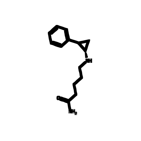 NC(=O)CCCCN[C@H]1CC1c1ccccc1